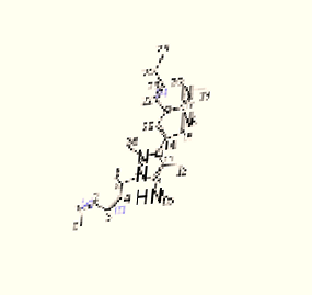 C/C=C\C=C/C(C)N1C(NC)=C(C)C(c2cnc(N(C)C)c(/C=C/CC)c2)N1C